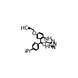 C#CCOc1ccc(NCc2nnn[nH]2)c(C(=O)c2ccc(C(C)C)cc2)c1